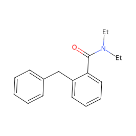 CCN(CC)C(=O)c1ccccc1Cc1ccccc1